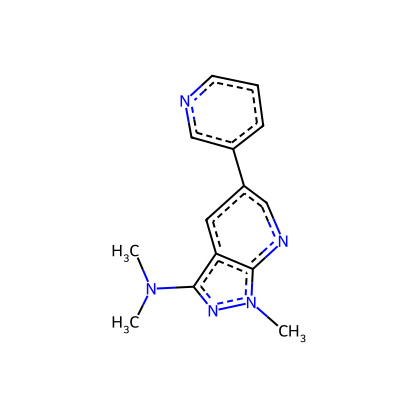 CN(C)c1nn(C)c2ncc(-c3cccnc3)cc12